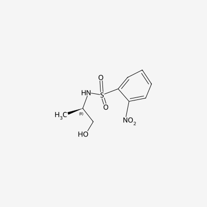 C[C@H](CO)NS(=O)(=O)c1ccccc1[N+](=O)[O-]